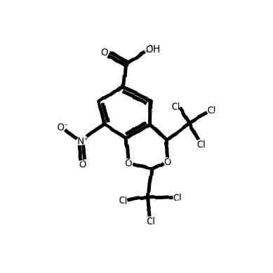 O=C(O)c1cc2c(c([N+](=O)[O-])c1)OC(C(Cl)(Cl)Cl)OC2C(Cl)(Cl)Cl